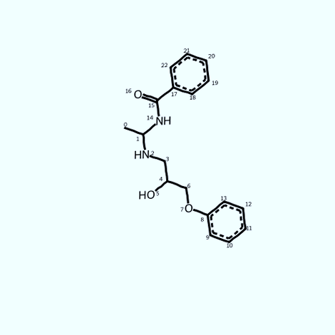 CC(NCC(O)COc1ccccc1)NC(=O)c1ccccc1